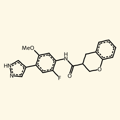 COc1cc(NC(=O)C2COc3ccccc3C2)c(F)cc1-c1cn[nH]c1